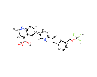 C=C(Cc1cccc(COC(F)(F)F)c1)c1ccc(-c2ccc3nc(C)cc(C(=O)O)c3c2)cn1